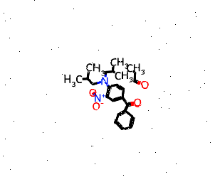 CC(C)CN(CC(C)C)c1ccc(C(=O)c2ccccc2)cc1[N+](=O)[O-].CCC=O